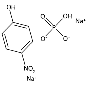 O=P([O-])([O-])O.O=[N+]([O-])c1ccc(O)cc1.[Na+].[Na+]